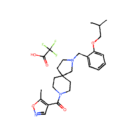 Cc1oncc1C(=O)N1CCC2(CCN(Cc3ccccc3OCC(C)C)C2)CC1.O=C(O)C(F)(F)F